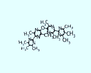 Cc1nc(-c2nc(C)c(C)c(C)n2)c(C)nc1Oc1nc(C)c(-c2nc(C)c(C)c(C)n2)nc1C